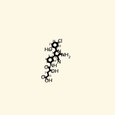 N#Cc1c(-c2cccc(NC(=O)C(O)CCC(=O)O)c2)cc(-c2cc(Cl)ccc2O)nc1N